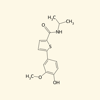 COc1cc(-c2ccc(C(=O)NC(C)C)s2)ccc1O